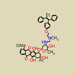 CC/C(=C(\c1ccccc1)c1ccc(OCCN(C)CNC2CC(O[C@H]3C[C@](O)(C(C)=O)Cc4c(O)c5c(c(O)c43)C(=O)c3c(OC)cccc3C5=O)OC(C)C2O)cc1)c1ccccc1